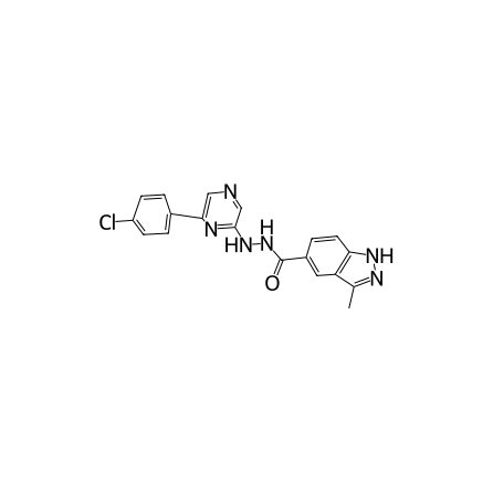 Cc1n[nH]c2ccc(C(=O)NNc3cncc(-c4ccc(Cl)cc4)n3)cc12